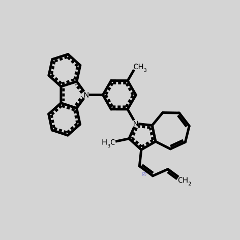 C=C/C=C\c1c2c(n(-c3cc(C)cc(-n4c5ccccc5c5ccccc54)c3)c1C)CC=CC=C2